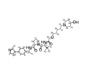 Cc1ncsc1-c1ccc(C(C)NC(=O)C2CCCN2C(=O)C(NC(=O)COCCCCCN2CCC(O)CC2)C(C)(C)C)cc1